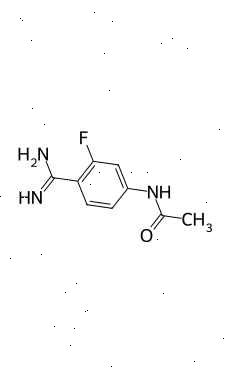 CC(=O)Nc1ccc(C(=N)N)c(F)c1